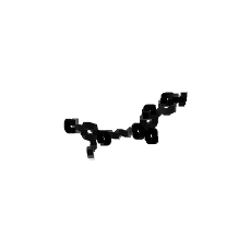 C=CC(CO)c1cc(=O)c(OCCCCCOc2ccc(Cl)cc2CCC)co1